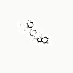 Cc1ncnc(N2CCN(Cc3cc4cc(Cl)ccc4[nH]3)CC2)c1C